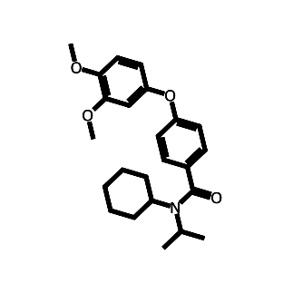 COc1ccc(Oc2ccc(C(=O)N(C(C)C)C3CCCCC3)cc2)cc1OC